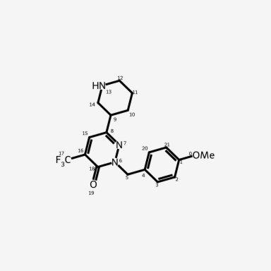 COc1ccc(Cn2nc(C3CCCNC3)cc(C(F)(F)F)c2=O)cc1